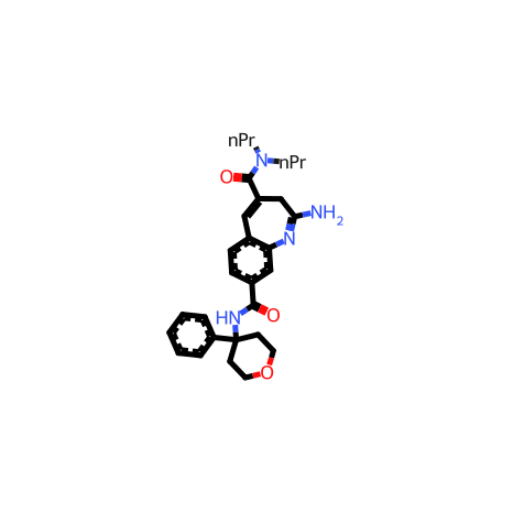 CCCN(CCC)C(=O)C1=Cc2ccc(C(=O)NC3(c4ccccc4)CCOCC3)cc2N=C(N)C1